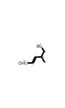 CCC(C)CC(C)C=CC=O